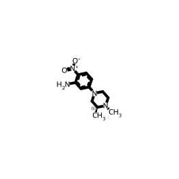 C[C@H]1CN(c2ccc([N+](=O)[O-])c(N)c2)CCN1C